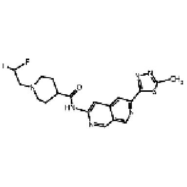 Cc1nnc(-c2cc3cc(NC(=O)C4CCN(CC(F)F)CC4)ncc3cn2)s1